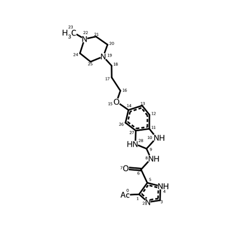 CC(=O)c1nc[nH]c1C(=O)NC1Nc2ccc(OCCCN3CCN(C)CC3)cc2N1